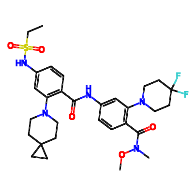 CCS(=O)(=O)Nc1ccc(C(=O)Nc2ccc(C(=O)N(C)OC)c(N3CCC(F)(F)CC3)c2)c(N2CCC3(CC2)CC3)c1